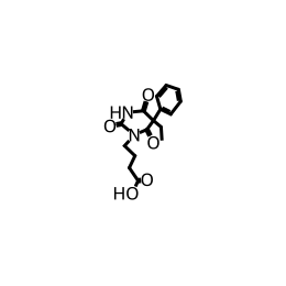 CCC1(c2ccccc2)C(=O)NC(=O)N(CCCC(=O)O)C1=O